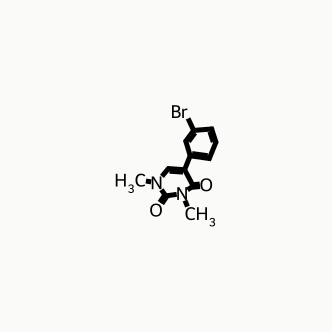 Cn1cc(-c2cccc(Br)c2)c(=O)n(C)c1=O